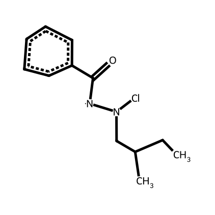 CCC(C)CN(Cl)[N]C(=O)c1ccccc1